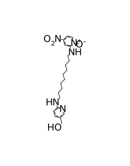 O=[N+]([O-])c1cc[n+]([O-])c(NCCCCCCCCCCNc2ccc(CO)cn2)c1